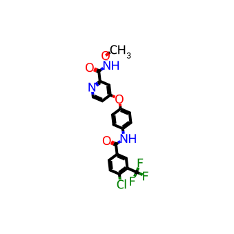 CONC(=O)c1cc(Oc2ccc(NC(=O)c3ccc(Cl)c(C(F)(F)F)c3)cc2)ccn1